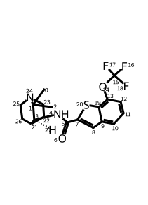 CC1(C)[C@@H](NC(=O)c2cc3cccc(OC(F)(F)F)c3s2)C2CCN1CC2